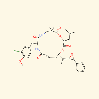 COc1ccc(CC2NC(=O)/C=C/C[C@@H](C(C)[C@H]3OC3c3ccccc3)OC(=O)[C@H](CC(C)C)OC(=O)C(C)(C)CNC2=O)cc1Cl